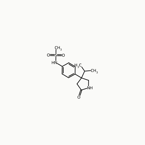 CC(C)C1(c2ccc(NS(C)(=O)=O)cc2)CNC(=O)C1